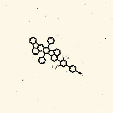 Cc1cc(-c2ccc(C#N)cc2)cc(C)c1-c1ccc2c3c(cccc13)-c1c-2c(-c2ccccc2)c2c3c4c(cc2c1-c1ccccc1)-c1ccccc1C4CC=C3